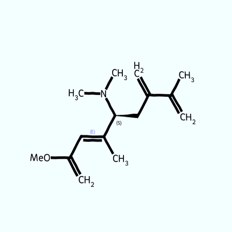 C=C(/C=C(\C)[C@H](CC(=C)C(=C)C)N(C)C)OC